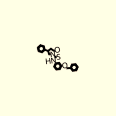 O=C1CC(c2ccccc2)CN1C(=S)Nc1cccc(OCc2ccccc2)c1